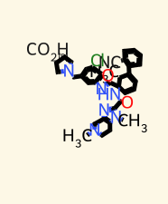 CC1C(c2ccccc2C#N)=CC=CC1(NC(=O)c1nc2c(n1C)CCN(C)C2)c1nc2cc(CN3CC[C@@H](C(=O)O)C3)cc(Cl)c2o1